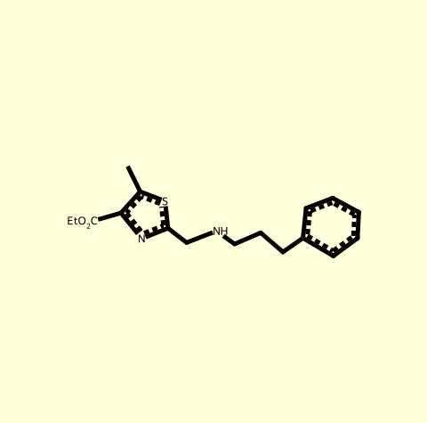 CCOC(=O)c1nc(CNCCCc2ccccc2)sc1C